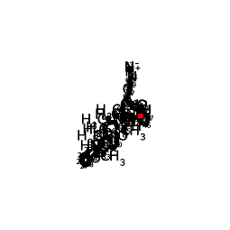 CC[C@H](C)[C@@H]([C@@H](CC(=O)N1CCC[C@H]1[C@H](OC)[C@@H](C)C(=O)N[C@@H](Cc1ccccc1)[PH](=O)OC)OC)N(C)C(=O)[C@@H](NC(=O)[C@@H]1[C@H]2CC[C@H](C2)N1C(=O)CCOCCOCCN=[N+]=[N-])C(C)C